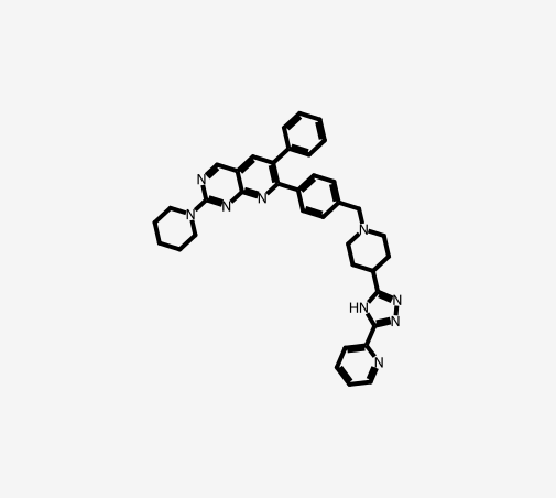 c1ccc(-c2cc3cnc(N4CCCCC4)nc3nc2-c2ccc(CN3CCC(c4nnc(-c5ccccn5)[nH]4)CC3)cc2)cc1